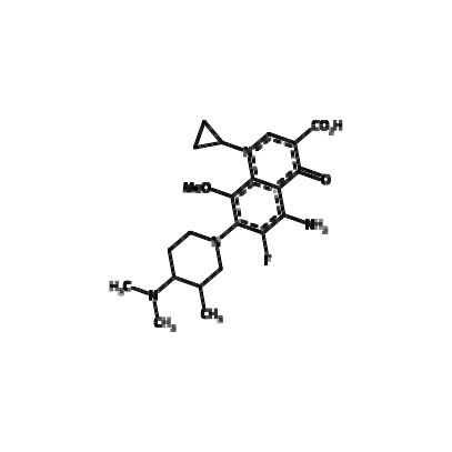 COc1c(N2CCC(N(C)C)C(C)C2)c(F)c(N)c2c(=O)c(C(=O)O)cn(C3CC3)c12